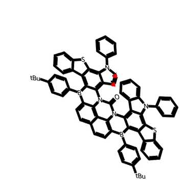 CC(C)(C)c1ccc(B2c3ccc4ccc5c6c4c3N(C(=O)N6c3c(c4c6ccccc6sc4c4c3c3ccccc3n4-c3ccccc3)B5c3ccc(C(C)(C)C)cc3)c3c2c2c4ccccc4sc2c2c3c3ccccc3n2-c2ccccc2)cc1